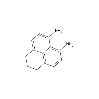 Nc1ccc2c3c(ccc(N)c13)CCC2